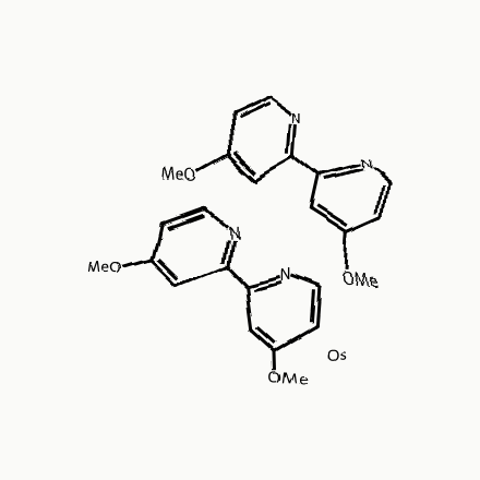 COc1ccnc(-c2cc(OC)ccn2)c1.COc1ccnc(-c2cc(OC)ccn2)c1.[Os]